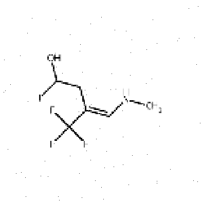 CN/C=C(\CC(O)I)C(F)(F)F